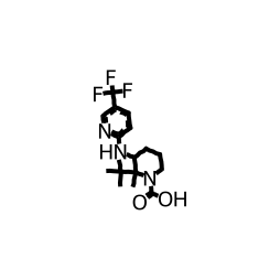 CC(C)(C)C1(C)C(Nc2ccc(C(F)(F)F)cn2)CCCN1C(=O)O